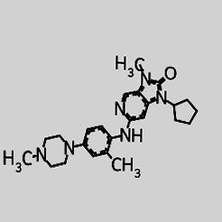 Cc1cc(N2CCN(C)CC2)ccc1Nc1cc2c(cn1)n(C)c(=O)n2C1CCCC1